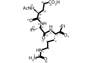 CCC(=O)[C@H](CCCNC(N)=O)NC(=O)[C@@H](NC(=O)[C@H](CCC(=O)O)NC(C)=O)C(C)C